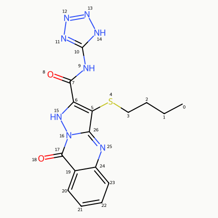 CCCCSc1c(C(=O)Nc2nnn[nH]2)[nH]n2c(=O)c3ccccc3nc12